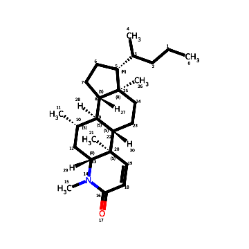 CCCC(C)[C@H]1CC[C@H]2[C@@H]3[C@@H](C)C[C@H]4N(C)C(=O)C=C[C@]4(C)[C@H]3CC[C@]12C